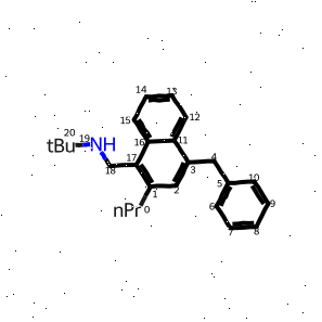 CCCc1cc(Cc2ccccc2)c2ccccc2c1CNC(C)(C)C